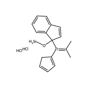 C[C](C)=[Zr]([C]1=CC=CC1)[C]1(O[SiH3])C=Cc2ccccc21.Cl.Cl